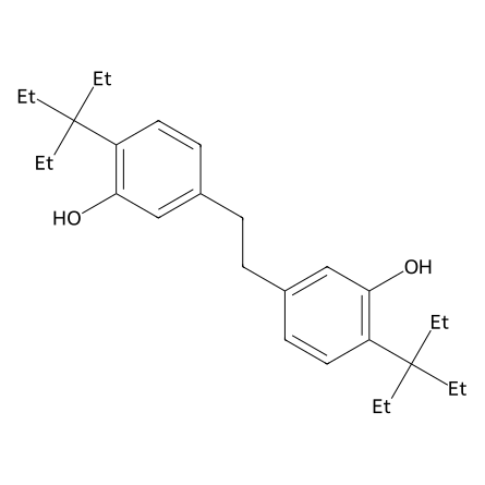 CCC(CC)(CC)c1ccc(CCc2ccc(C(CC)(CC)CC)c(O)c2)cc1O